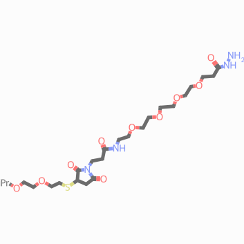 CC(C)OCCOCCSC1CC(=O)N(CCC(=O)NCCOCCOCCOCCOCCC(=O)NN)C1=O